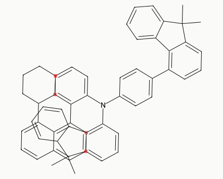 CC1(C)c2ccccc2-c2c(-c3ccc(N(c4ccccc4-c4cccc5cccc(C6CCCCC6)c45)c4cccc5c4C4C=CC=CC4C5(C)C)cc3)cccc21